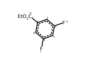 CCOC(=O)c1cc(F)cc(F)c1